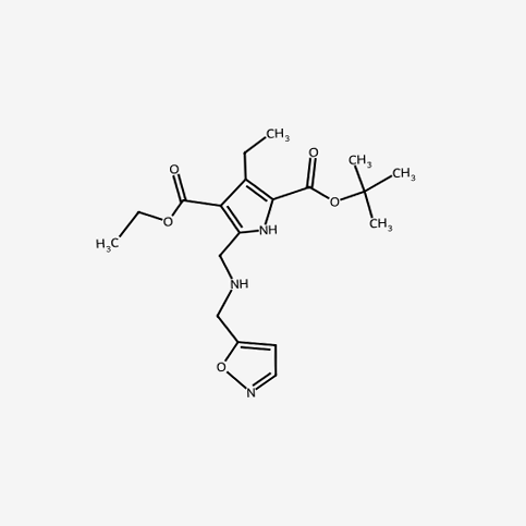 CCOC(=O)c1c(CNCc2ccno2)[nH]c(C(=O)OC(C)(C)C)c1CC